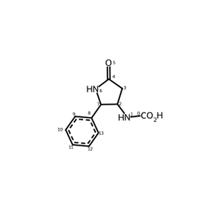 O=C(O)NC1CC(=O)NC1c1ccccc1